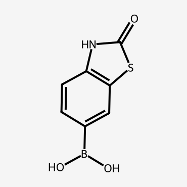 O=c1[nH]c2ccc(B(O)O)cc2s1